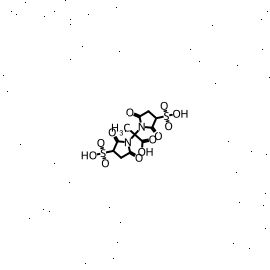 CC(C(=O)O)(N1C(=O)CC(S(=O)(=O)O)C1=O)N1C(=O)CC(S(=O)(=O)O)C1=O